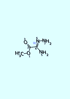 COC(=O)/C(N)=N/N